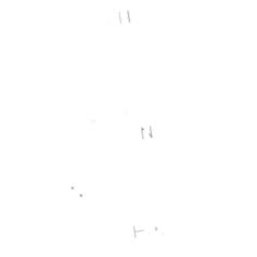 CCC1CCCN(C(C#N)CC)C1=S